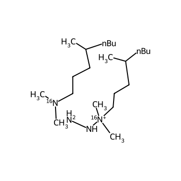 CCCCC(C)CCC[16N+](C)(C)NN.CCCCC(C)CCC[16N](C)C